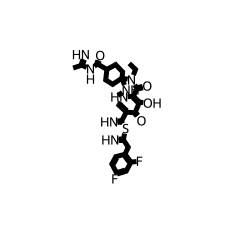 CCN(C(=O)c1[nH]cc(C(=N)SC(=N)Cc2ccc(F)cc2F)c(=O)c1O)C1(NC)CCC(C(=O)NC(C)=N)CC1